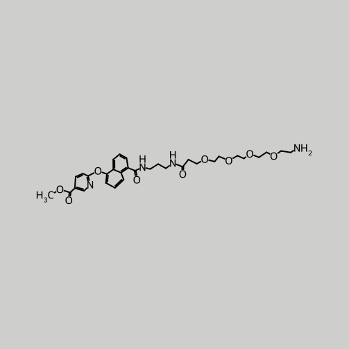 COC(=O)c1ccc(Oc2cccc3c(C(=O)NCCCNC(=O)CCOCCOCCOCCOCCN)cccc23)nc1